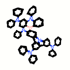 c1ccc(N(c2ccccc2)c2cc3c4c(c2)N(c2ccccc2)c2cc5c6cc(N(c7ccccc7)c7ccccc7)cc7c8cc(N(c9ccccc9)c9ccccc9)ccc8n(c5cc2B4c2ccccc2N3c2ccccc2)c76)cc1